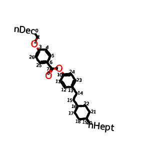 CCCCCCCCCCCOc1ccc(C(=O)Oc2ccc(CCC3CCC(CCCCCCC)CC3)cc2)cc1